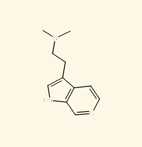 CN(C)CCc1c[nH]c2cnccc12